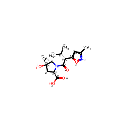 Cc1cc([C@H](C(=O)N2C[C@](C)(O)C[C@@H]2C(=O)O)C(C)C)on1